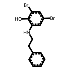 Oc1c(Br)cc(Br)cc1NCCc1ccccc1